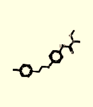 CON(C)C(=O)Nc1ccc(OCCc2ccc(C)cc2)cc1